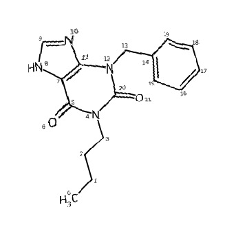 CCCCn1c(=O)c2[nH]cnc2n(Cc2ccccc2)c1=O